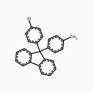 CCc1ccc(C2(c3ccc(C)cc3)c3ccccc3-c3ccccc32)cc1